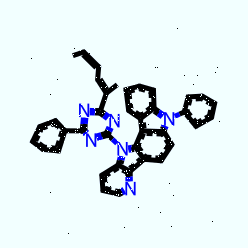 C/C=C\C=C(/C)c1nc(-c2ccccc2)nc(-n2c3cccnc3c3ccc4c(c5ccccc5n4-c4ccccc4)c32)n1